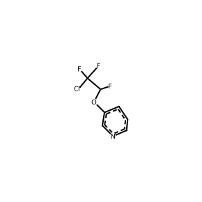 FC(Oc1cccnc1)C(F)(F)Cl